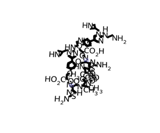 CC1(C)[C@H](NC(=O)/C(=N\O[C@@H](COc2ccc(-c3cnc(NCCN)[n+](CC4CNC4)c3)cc2)C(=O)O)c2csc(N)n2)C(=O)N1OS(=O)(=O)ON1C(=O)[C@@H](NC(=O)/C(=N\O[C@@H](COc2ccc(-c3cnc(NCCN)[n+](CC4CNC4)c3)cc2)C(=O)O)c2csc(N)n2)C1(C)C